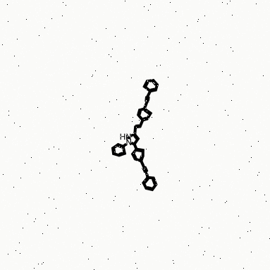 C(#Cc1ccc(C=CC2=CC(c3ccc(C#Cc4ccccc4)cc3)N(c3ccccc3)N2)cc1)c1ccccc1